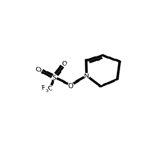 O=S(=O)(ON1C=CCCC1)C(F)(F)F